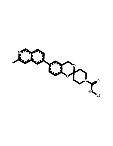 CCNC(=O)N1CCC2(CC1)OCc1cc(-c3ccc4cnc(C)cc4c3)ccc1O2